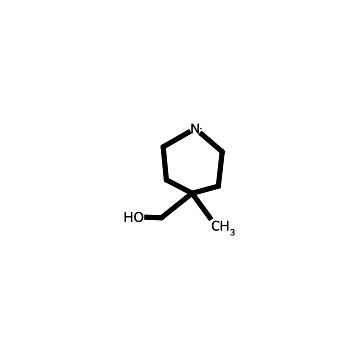 CC1(CO)CC[N]CC1